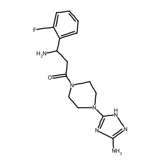 Nc1n[nH]c(N2CCN(C(=O)CC(N)c3ccccc3F)CC2)n1